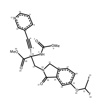 COC(=O)N[C@@](C#Cc1cccnc1)(CN1Cc2ccc(OC(F)F)cc2C1=O)C(=O)OC